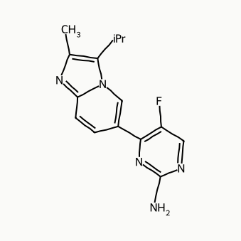 Cc1nc2ccc(-c3nc(N)ncc3F)cn2c1C(C)C